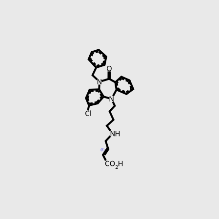 O=C(O)/C=C/CNCCCCN1c2ccccc2C(=O)N(Cc2ccccc2)c2ccc(Cl)cc21